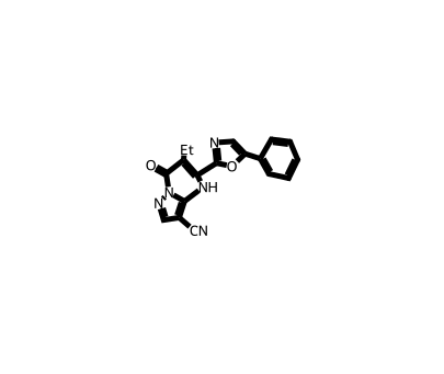 CCc1c(-c2ncc(-c3ccccc3)o2)[nH]c2c(C#N)cnn2c1=O